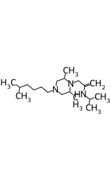 C=C(CN1C(C)CN(CCCCC(C)C)CC1C)NC(C)C